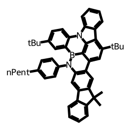 CCCCCc1ccc(N2B3c4cc(C(C)(C)C)ccc4-n4c5ccccc5c5c(C(C)(C)C)cc(c3c54)-c3cc4c(cc32)-c2ccccc2C4(C)C)cc1